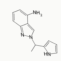 CC(c1ccc[nH]1)n1cc2c(N)cccc2n1